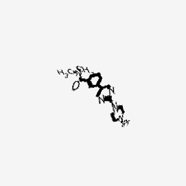 CC(C)N1CCN(c2ncc(-c3cccc(C(=O)N(C)C)c3)cn2)CC1